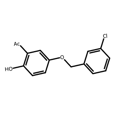 CC(=O)c1cc(OCc2cccc(Cl)c2)ccc1O